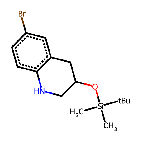 CC(C)(C)[Si](C)(C)OC1CNc2ccc(Br)cc2C1